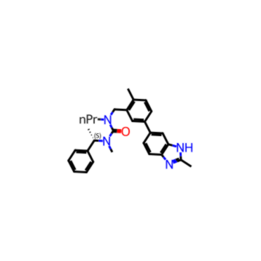 CCCN(Cc1cc(-c2ccc3nc(C)[nH]c3c2)ccc1C)C(=O)N(C)[C@@H](C)c1ccccc1